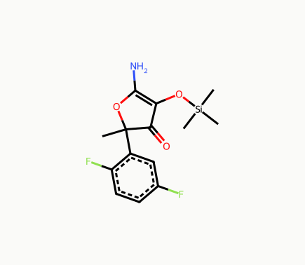 CC1(c2cc(F)ccc2F)OC(N)=C(O[Si](C)(C)C)C1=O